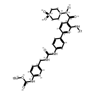 CCNc1nc(-c2ccc(NC(=O)NCc3ccc(NC(=O)OC(C)(C)C)nc3)cc2)ccc1C(=O)N(CC)N1CCS(=O)(=O)CC1